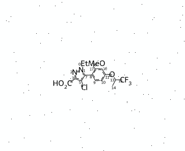 CCn1nc(C(=O)O)c(Cl)c1-c1ccc(OC(C)C(F)(F)F)cc1OC